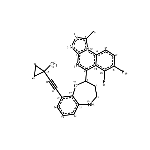 Cc1nnc2nc(C3CCNc4cccc(C#CC5(C(F)(F)F)CC5)c4O3)c3c(F)c(F)ccc3n12